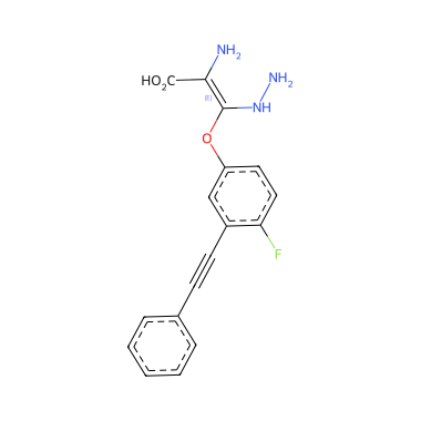 NN/C(Oc1ccc(F)c(C#Cc2ccccc2)c1)=C(\N)C(=O)O